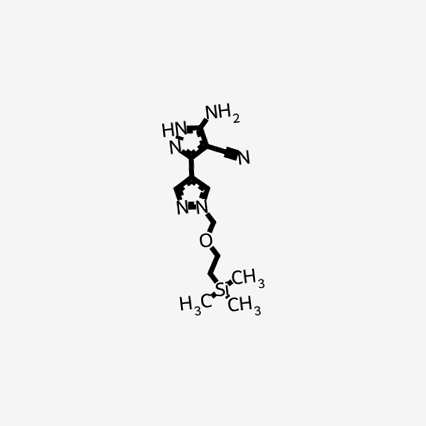 C[Si](C)(C)CCOCn1cc(-c2n[nH]c(N)c2C#N)cn1